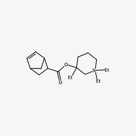 CCC1(OC(=O)C2CC3C=CC2C3)CCC[Si](CC)(CC)C1